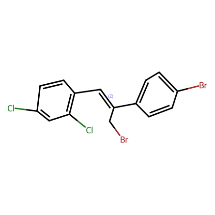 Clc1ccc(/C=C(\CBr)c2ccc(Br)cc2)c(Cl)c1